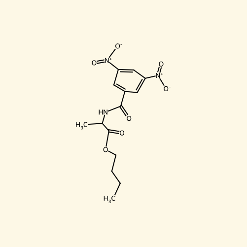 CCCCOC(=O)C(C)NC(=O)c1cc([N+](=O)[O-])cc([N+](=O)[O-])c1